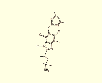 CCn1c(N(C)CC(C)(C)N)nc2c1c(=O)n(Cc1nc(C)cc(C)n1)c(=O)n2C